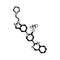 Cl.Cl.O=c1cc(-c2ncc3ccccc3n2)ccn1-c1ccc2c(cnn2CCN2CCCC2)c1